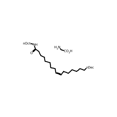 CCCCCCCCCCCCCCCC/C=C\CCCCCCCC(=O)NCCCCCCCC.NCC(=O)O